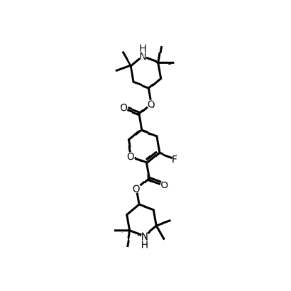 CC1(C)CC(OC(=O)C2=C(F)CC(C(=O)OC3CC(C)(C)NC(C)(C)C3)CO2)CC(C)(C)N1